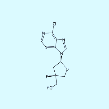 OC[C@@]1(F)CO[C@H](n2cnc3c(Cl)ncnc32)C1